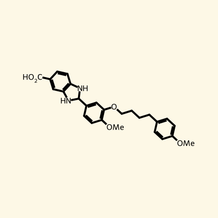 COc1ccc(CCCCOc2cc(C3Nc4ccc(C(=O)O)cc4N3)ccc2OC)cc1